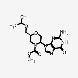 COC(=O)N1C[C@@H](COC(C)C)OCC1n1cnc2c(=O)[nH]c(N)nc21